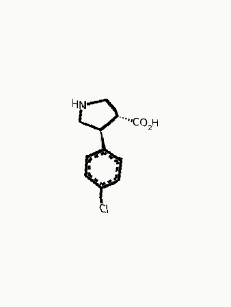 O=C(O)[C@H]1CNC[C@@H]1c1ccc(Cl)cc1